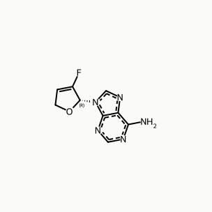 Nc1ncnc2c1ncn2[C@@H]1OCC=C1F